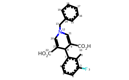 Cc1c(F)cccc1C1C(C(=O)O)=CN(Cc2ccccc2)C=C1C(=O)O